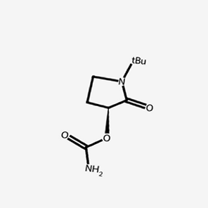 CC(C)(C)N1CC[C@H](OC(N)=O)C1=O